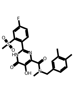 Cc1ccc(CN(C)C(=O)c2nc(-c3ccc(F)cc3S(C)(=O)=O)[nH]c(=O)c2O)cc1C